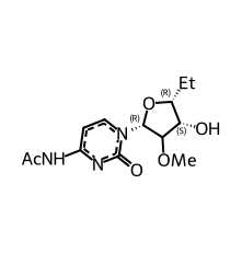 CC[C@H]1O[C@@H](n2ccc(NC(C)=O)nc2=O)C(OC)[C@H]1O